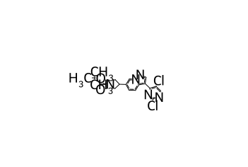 CC(C)(C)OC(=O)N1CC(c2ccc3c(-c4nc(Cl)ncc4Cl)cnn3c2)C1